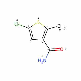 Cc1sc(Cl)cc1C(N)=O